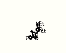 CCOc1cc(/C=C2\CC3(CC3)CN3C2=NOCC3c2ccc(F)cc2)ccc1-n1cnc(CC)c1